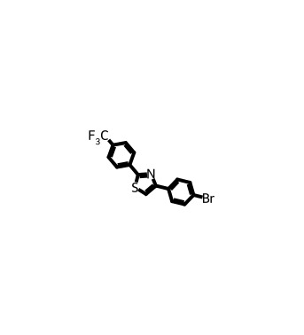 FC(F)(F)c1ccc(-c2nc(-c3ccc(Br)cc3)cs2)cc1